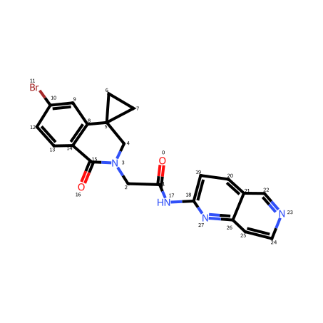 O=C(CN1CC2(CC2)c2cc(Br)ccc2C1=O)Nc1ccc2cnccc2n1